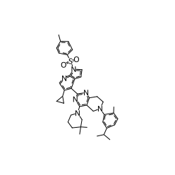 Cc1ccc(S(=O)(=O)n2ccc3c(-c4nc5c(c(N6CCCC(C)(C)C6)n4)CN(c4cc(C(C)C)ccc4C)CC5)c(C4CC4)cnc32)cc1